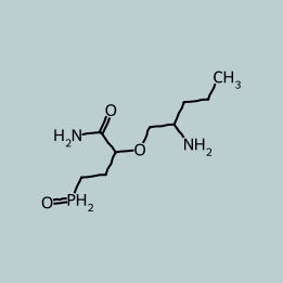 CCCC(N)COC(CC[PH2]=O)C(N)=O